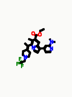 CCOC(=O)c1cc2c(-c3ccnc(N(C)C)c3)ccn2c(C(C)=C2CCN(CC(F)(F)F)CC2)c1C